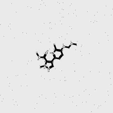 COCOc1ccc(-c2cnn(C)c2C(=O)OC)nc1C